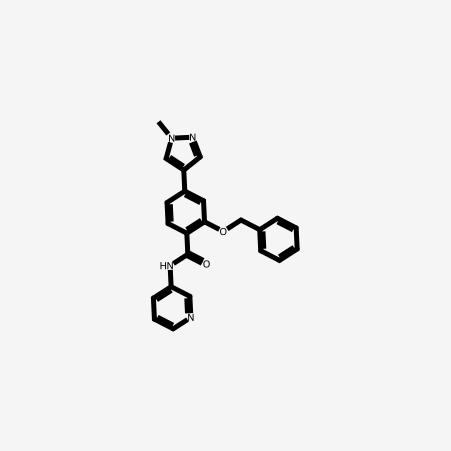 Cn1cc(-c2ccc(C(=O)Nc3cccnc3)c(OCc3ccccc3)c2)cn1